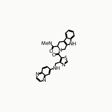 CNC(=O)C1Cc2c([nH]c3ccccc23)CN1C(=O)c1scnc1CNc1ccc2nccnc2c1